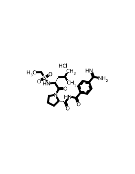 CCS(=O)(=O)N[C@H](CC(C)C)C(=O)N1CCC[C@H]1C(=O)NC(=O)c1ccc(C(=N)N)cc1.Cl